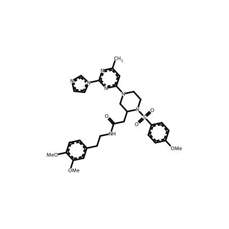 COc1ccc(S(=O)(=O)N2CCN(c3cc(C)nc(-n4ccnc4)n3)CC2CC(=O)NCCc2ccc(OC)c(OC)c2)cc1